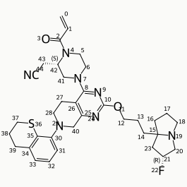 C=CC(=O)N1CCN(c2nc(OCCCC34CCCN3C[C@H](F)C4)nc3c2CCN(c2cccc4c2SCCC4)C3)C[C@@H]1CC#N